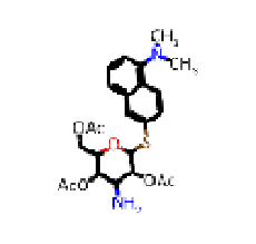 CC(=O)OCC1OC(Sc2ccc3c(N(C)C)cccc3c2)C(OC(C)=O)C(N)C1OC(C)=O